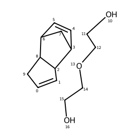 C1=CC2C3C=CC(C3)C2C1.OCCOCCO